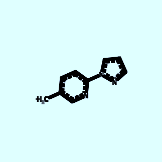 [CH2]c1ccc(-n2cccn2)nc1